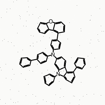 c1ccc(-c2ccc(N(c3ccc(-c4cccc5oc6ccccc6c45)cc3)c3ccc4c5c(-c6ccccc6)cccc5n(-c5ccccc5)c4c3)cc2)cc1